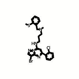 CSc1ccccc1CN(C)CCCNc1cc(-c2ccccc2Cl)nc2c(Br)cnn12